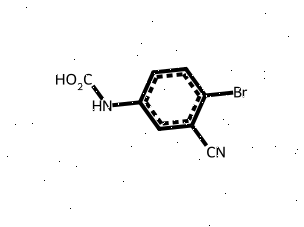 N#Cc1cc(NC(=O)O)ccc1Br